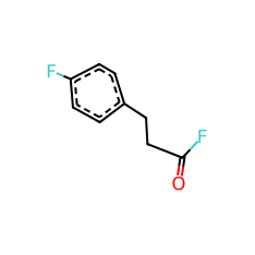 O=C(F)CCc1ccc(F)cc1